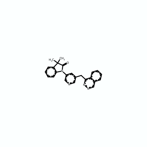 CC1(C)C(=O)N(c2cncc(Cc3nncc4ccccc34)c2)c2ccccc21